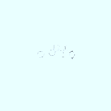 CCOc1ccccc1-c1ccc2c(NC(=O)c3ccco3)n[nH]c2c1